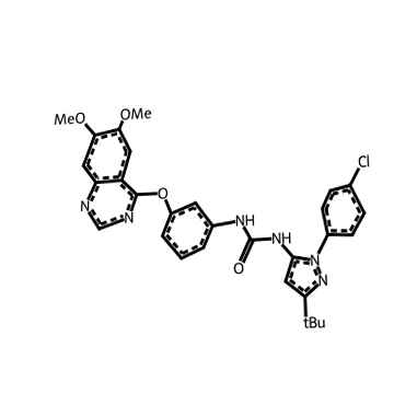 COc1cc2ncnc(Oc3cccc(NC(=O)Nc4cc(C(C)(C)C)nn4-c4ccc(Cl)cc4)c3)c2cc1OC